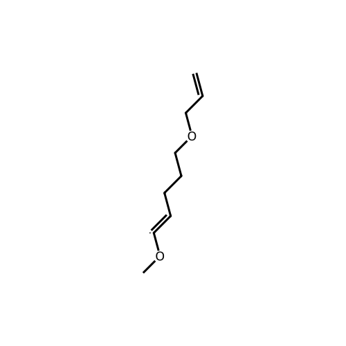 C=CCOCCC/C=[C]/OC